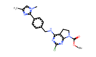 Cn1cc(C(F)(F)F)nc1-c1ccc(CNc2nc(Cl)nc3c2CCN3C(=O)OC(C)(C)C)cc1